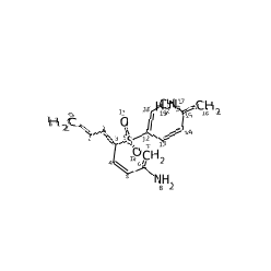 C=C/C=C(\C=C/C(=C)N)S(=O)(=O)C(/C=C\C(=C)N)=C/C